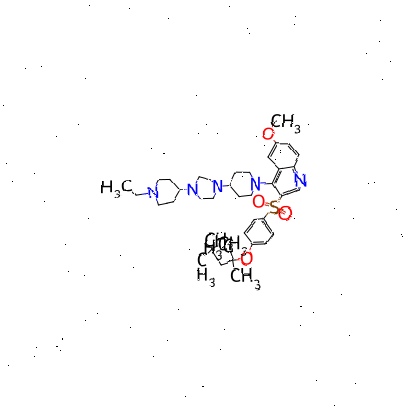 CCN1CCC(N2CCN(C3CCN(c4c(S(=O)(=O)c5ccc(OC(C)(C)CC(C)(C)C)cc5)cnc5ccc(OC)cc45)CC3)CC2)CC1